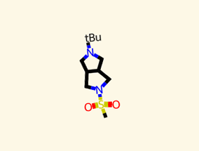 CC(C)(C)N1CC2CN(S(C)(=O)=O)CC2C1